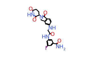 NC(=O)c1cc(I)cc(NC(=O)CNc2ccc3c(c2)CN(C2CCC(=O)NC2=O)C3=O)c1